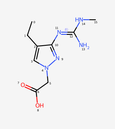 CCc1cn(CC(=O)O)nc1/N=C(\N)NC